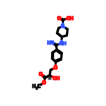 COC(=O)[C@H](O)COc1ccc(C(=N)NC2CCN(C(=O)O)CC2)cc1